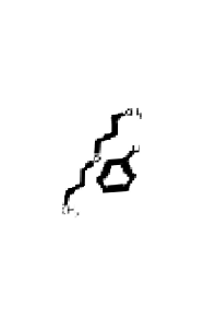 CCCCOCCCC.[Li][c]1ccccc1